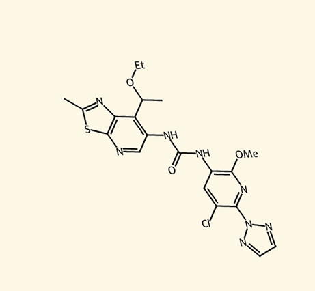 CCOC(C)c1c(NC(=O)Nc2cc(Cl)c(-n3nccn3)nc2OC)cnc2sc(C)nc12